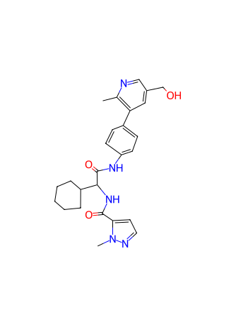 Cc1ncc(CO)cc1-c1ccc(NC(=O)C(NC(=O)c2ccnn2C)C2CCCCC2)cc1